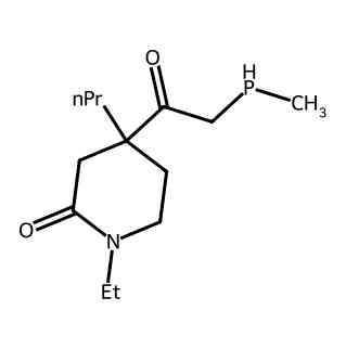 CCCC1(C(=O)CPC)CCN(CC)C(=O)C1